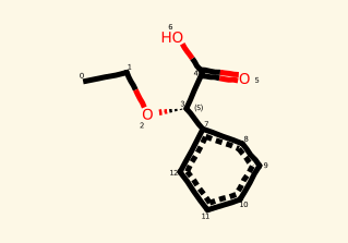 CCO[C@H](C(=O)O)c1ccccc1